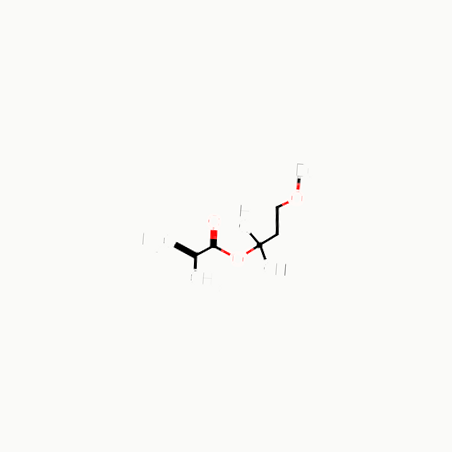 C=C(C)C(=O)OC(C)(C)CCOCC